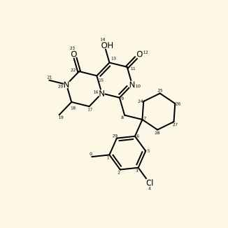 Cc1cc(Cl)cc(C2(Cc3nc(=O)c(O)c4n3CC(C)N(C)C4=O)CCCCC2)c1